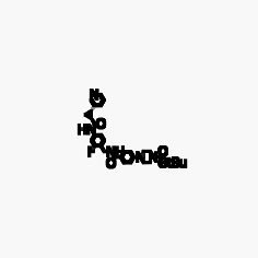 CC(C)(C)OC(=O)N1CCN(c2ccc(C(=O)NCc3ccc(NC(=O)[C@H]4C[C@@H]4c4cccnc4)cc3F)cc2)CC1